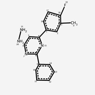 Cc1cc(-c2ccnc(-c3ccccc3)n2)ccc1F.NN